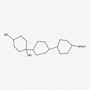 CCCCCC1CCC(C2CCC(C3(CCC)CCC(C#N)CC3)CC2)CC1